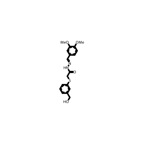 COc1ccc(/C=N/NC(=O)CSc2cccc(CO)c2)cc1OC